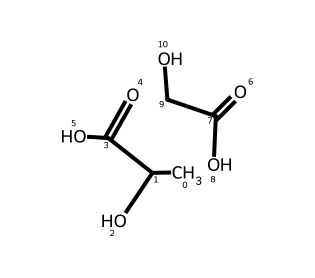 CC(O)C(=O)O.O=C(O)CO